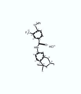 CC(C)Oc1ccc(C(=O)Nc2ccc3c(c2)CN(C)CC3(C)C)cc1C(F)(F)F.Cl